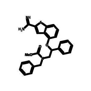 COC(=O)N(Cc1ccccc1)CC(Oc1cccc2sc(C(=N)N)cc12)c1ccccc1